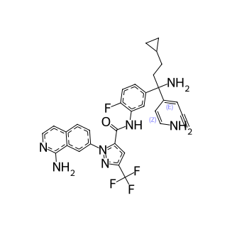 C#C/C=C(\C=C/N)C(N)(CCC1CC1)c1ccc(F)c(NC(=O)c2cc(C(F)(F)F)nn2-c2ccc3ccnc(N)c3c2)c1